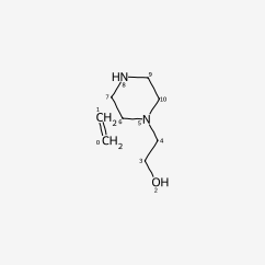 C=C.OCCN1CCNCC1